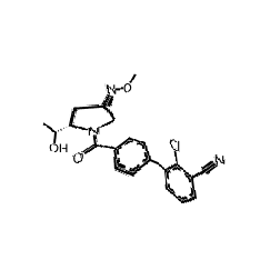 CO/N=C1/C[C@@H](C(C)O)N(C(=O)c2ccc(-c3cccc(C#N)c3Cl)cc2)C1